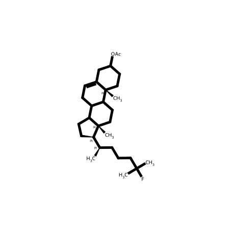 CC(=O)OC1CC[C@@]2(C)C(=CCC3C2CC[C@@]2(C)C3CC[C@@H]2[C@H](C)CCCC(C)(C)F)C1